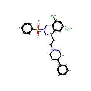 CN(C[C@@H](CCN1CCC(c2ccccc2)CC1)c1cccc(Cl)c1)S(=O)(=O)c1ccccc1.Cl